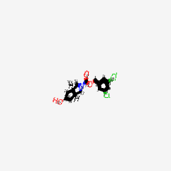 O=C(OCc1cc(Cl)cc(Cl)c1)N1C[C@H]2C[C@@H](O)C[C@H]2C1